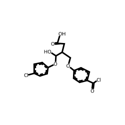 O=C(O)CC(COc1ccc(C(=O)Cl)cc1)C(O)Oc1ccc(Cl)cc1